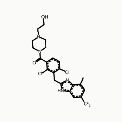 Cc1cc(C(F)(F)F)cc2[nH]c(Cc3c(Cl)ccc(C(=O)N4CCN(CCO)CC4)c3Cl)nc12